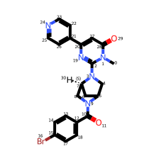 Cn1c(N2CC3C[C@H]2CN3C(=O)c2ccc(Br)cc2)nc(-c2ccncc2)cc1=O